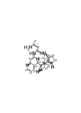 C/C(N)=C/C(=N)Nc1cc2ncccc2c(C(=O)[C@@H]2C[C@H]3CC[C@@H](C2)N3CCC#N)n1